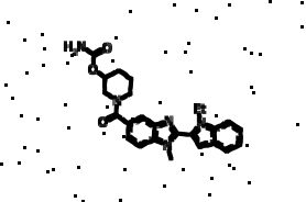 CCn1c(-c2nc3cc(C(=O)N4CCCC(OC(N)=O)C4)ccc3n2C)cc2ccccc21